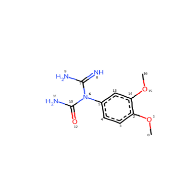 COc1ccc(N(C(=N)N)C(N)=O)cc1OC